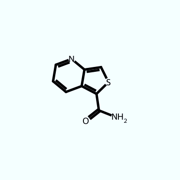 NC(=O)c1scc2ncccc12